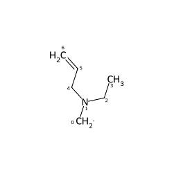 [CH2]N(CC)CC=C